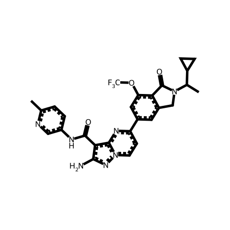 Cc1ccc(NC(=O)c2c(N)nn3ccc(-c4cc5c(c(OC(F)(F)F)c4)C(=O)N(C(C)C4CC4)C5)nc23)cn1